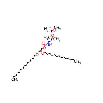 CCCCCCCCCCCCCCOC[C@H](COC(=O)NCCC(C)(C)OCC(C)OC)OCCCCCCCCCCCCCC